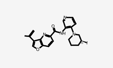 C=C(C)c1coc2ccc(C(=O)Nc3cnccc3N3CCC[C@H](I)C3)nc12